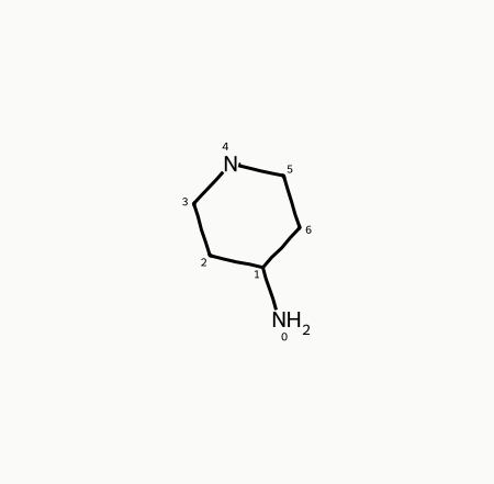 NC1CC[N]CC1